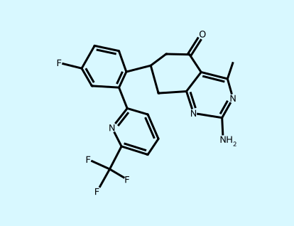 Cc1nc(N)nc2c1C(=O)CC(c1ccc(F)cc1-c1cccc(C(F)(F)F)n1)C2